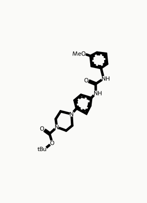 COc1cccc(NC(=O)Nc2ccc(N3CCN(C(=O)OC(C)(C)C)CC3)cc2)c1